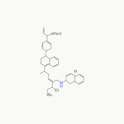 C=CC(CCCCC)C1=CCC(C2CCC(C(C)C/C=C(\CNC3C=C[C@H]4C=CC=CC4C3)C(CC)CC(C)CC)=C3C=CC=CC32)C=C1